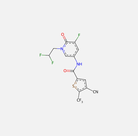 N#Cc1cc(C(=O)Nc2cc(F)c(=O)n(CC(F)F)c2)sc1C(F)(F)F